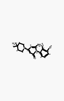 CC1(N)CCN(c2cc(=O)n(-c3cccc(Cl)c3Cl)c(N)n2)CC1